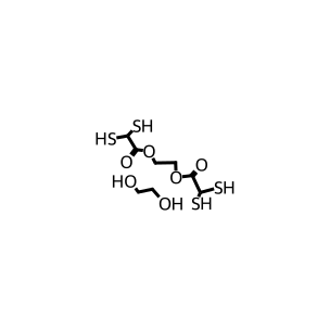 O=C(OCCOC(=O)C(S)S)C(S)S.OCCO